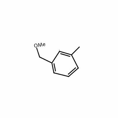 COCc1[c]c(C)ccc1